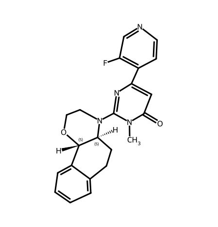 Cn1c(N2CCO[C@H]3c4ccccc4CC[C@@H]32)nc(-c2ccncc2F)cc1=O